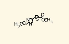 COCc1ncc(-c2ccc(C(=O)OC)s2)cn1